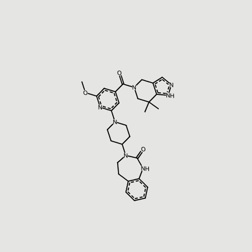 COc1cc(C(=O)N2Cc3cn[nH]c3C(C)(C)C2)cc(N2CCC(N3CCc4ccccc4NC3=O)CC2)n1